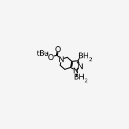 Bc1nn(B)c2c1CN(C(=O)OC(C)(C)C)CC2